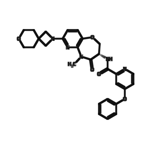 CN1C(=O)[C@@H](NC(=O)c2cc(Oc3ccccc3)ccn2)COc2ccc(N3CC4(CCOCC4)C3)nc21